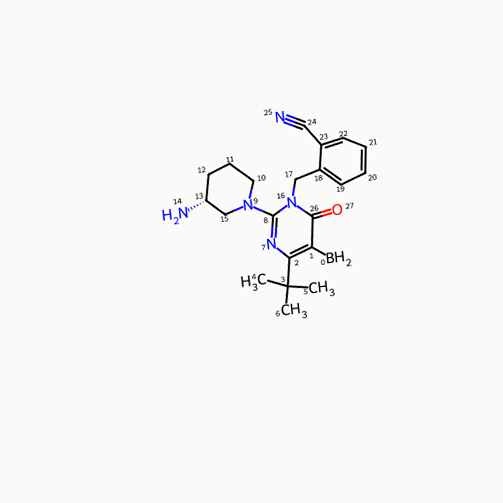 Bc1c(C(C)(C)C)nc(N2CCC[C@@H](N)C2)n(Cc2ccccc2C#N)c1=O